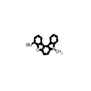 Cn1c2ccccc2c2c3c(ccc21)oc1c(C(C)(C)C)cccc13